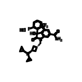 Cl.NC(=O)c1cc2c(c(C(F)(F)F)c1)C(O)(c1c(F)cccc1F)C(=O)N2C[C@H]1C[C@H](N(C2CC2)C2CC2)C1